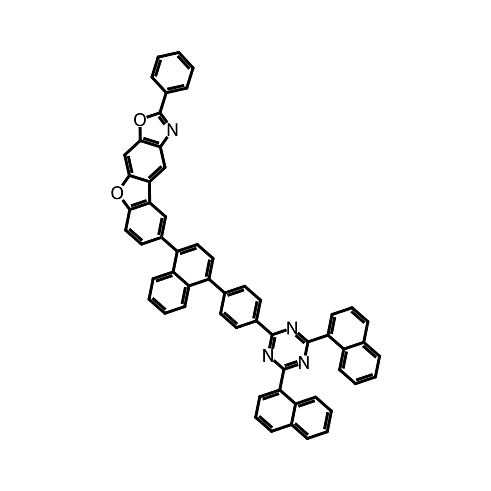 c1ccc(-c2nc3cc4c(cc3o2)oc2ccc(-c3ccc(-c5ccc(-c6nc(-c7cccc8ccccc78)nc(-c7cccc8ccccc78)n6)cc5)c5ccccc35)cc24)cc1